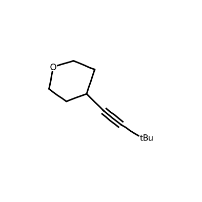 CC(C)(C)C#CC1CCOCC1